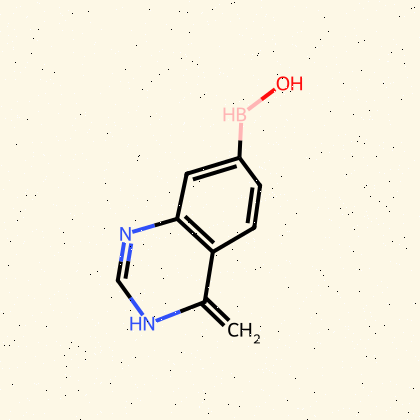 C=C1NC=Nc2cc(BO)ccc21